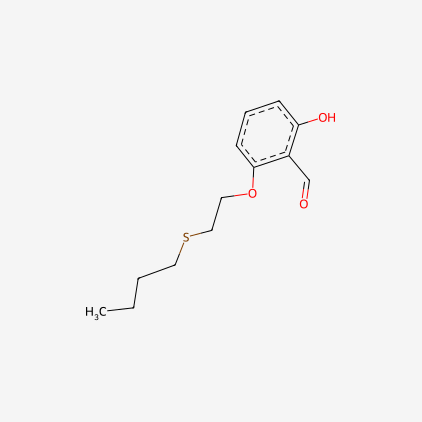 CCCCSCCOc1cccc(O)c1C=O